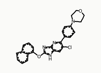 Clc1cc2[nH]c(Oc3cccc4ccccc34)nc2nc1-c1ccc(N2CCOCC2)cc1